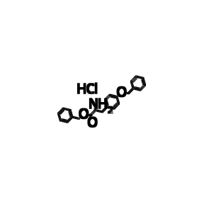 Cl.NC(Cc1ccc(OCc2ccccc2)cc1)C(=O)OCc1ccccc1